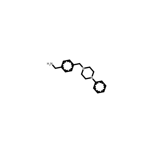 NCc1ccc(CN2CCN(c3ccccc3)CC2)cc1